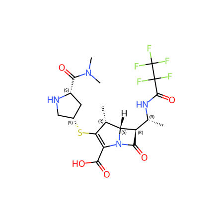 C[C@@H](NC(=O)C(F)(F)C(F)(F)F)[C@H]1C(=O)N2C(C(=O)O)=C(S[C@@H]3CN[C@H](C(=O)N(C)C)C3)[C@H](C)[C@H]12